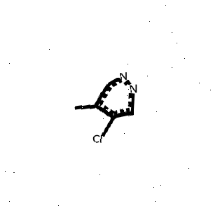 Cc1cnncc1Cl